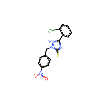 O=[N+]([O-])c1ccc(Cn2[nH]c(-c3ccccc3Cl)nc2=S)cc1